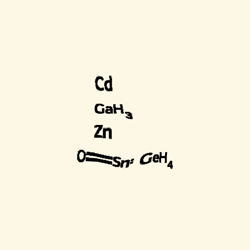 [Cd].[GaH3].[GeH4].[O]=[Sn].[Zn]